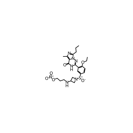 CCCc1nc(C)c2c(=O)[nH]c(-c3cc([S+]([O-])N4CC(NCCCO[N+](=O)[O-])C4)ccc3OCC)nn12